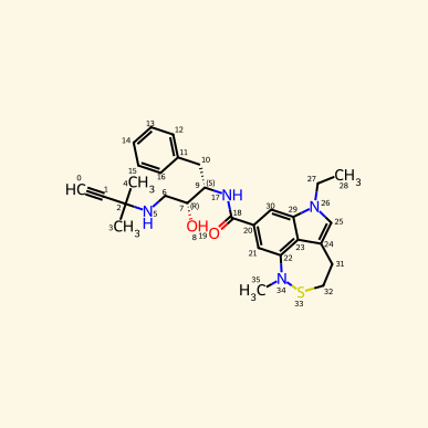 C#CC(C)(C)NC[C@@H](O)[C@H](Cc1ccccc1)NC(=O)c1cc2c3c(cn(CC)c3c1)CCSN2C